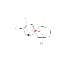 Cc1cc(N2[C@@H]3CC[C@H]2C[C@@H](O)C3)ccc1C#N